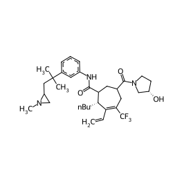 C=CC1=C(C(F)(F)F)CC(C(=O)N2CC[C@H](O)C2)CC(C(=O)Nc2cccc(C(C)(C)CC3CN3C)c2)[C@H]1CCCC